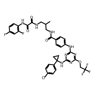 CC(CNC(=O)C(=O)Nc1ccc(F)cc1F)CNC(=O)c1ccc(Nc2nc(NC3(c4ccc(Cl)cc4)CC3)nc(OCC(F)(F)F)n2)cc1